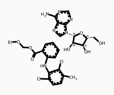 CCOCOC(=O)c1ccccc1Nc1c(Cl)ccc(C)c1Cl.Nc1ncnc2c1ncn2[C@@H]1O[C@H](CO)[C@@H](O)[C@H]1O